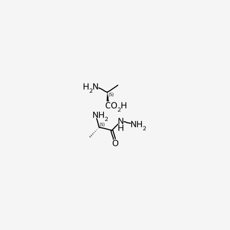 C[C@H](N)C(=O)NN.C[C@H](N)C(=O)O